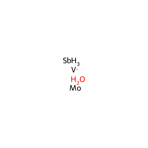 O.[Mo].[SbH3].[V]